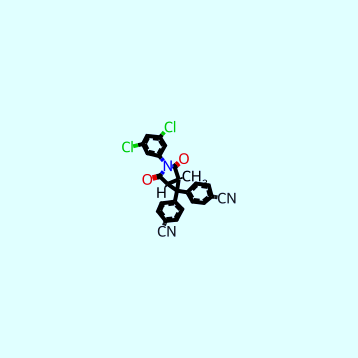 C[C@@]12C(=O)N(c3cc(Cl)cc(Cl)c3)C(=O)[C@@H]1C2(c1ccc(C#N)cc1)c1ccc(C#N)cc1